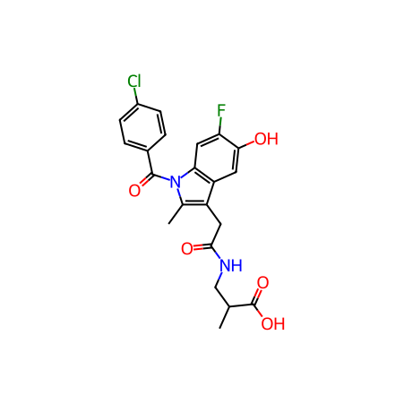 Cc1c(CC(=O)NCC(C)C(=O)O)c2cc(O)c(F)cc2n1C(=O)c1ccc(Cl)cc1